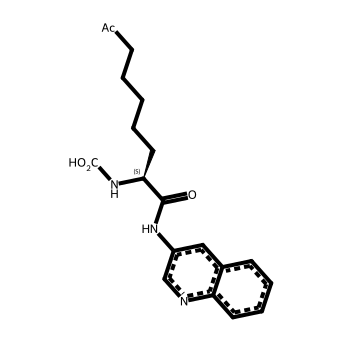 CC(=O)CCCCC[C@H](NC(=O)O)C(=O)Nc1cnc2ccccc2c1